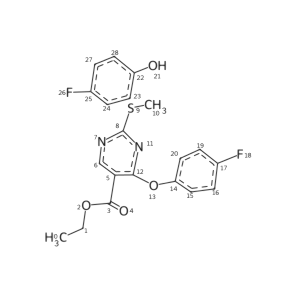 CCOC(=O)c1cnc(SC)nc1Oc1ccc(F)cc1.Oc1ccc(F)cc1